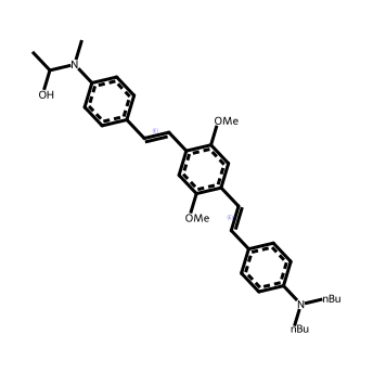 CCCCN(CCCC)c1ccc(/C=C/c2cc(OC)c(/C=C/c3ccc(N(C)C(C)O)cc3)cc2OC)cc1